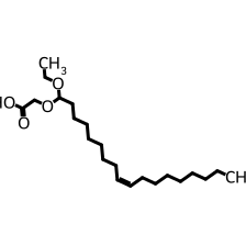 CCCCCCCC/C=C\CCCCCCCC(OCC)OCC(=O)O